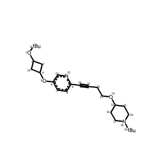 CC(C)(C)OC1CC(Oc2ccc(C#CCCOC3CCN(C(C)(C)C)CC3)nc2)C1